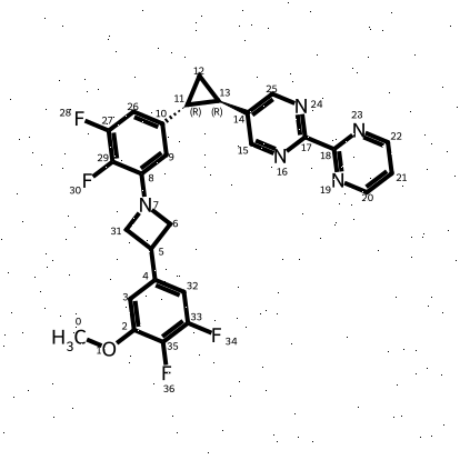 COc1cc(C2CN(c3cc([C@@H]4C[C@H]4c4cnc(-c5ncccn5)nc4)cc(F)c3F)C2)cc(F)c1F